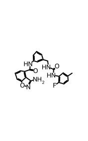 Cc1ccc(F)c(NC(=O)NCc2cccc(NC(=O)c3cccc4onc(N)c34)c2)c1